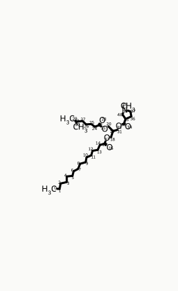 CCCCCCCCCCCCCCCC(=O)OCC(COC(=O)CCCCC(C)C)COC(=O)C1CCN(C)C1